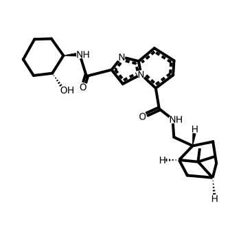 CC1(C)[C@H]2CC[C@@H](CNC(=O)c3cccc4nc(C(=O)N[C@@H]5CCCC[C@H]5O)cn34)[C@@H]1C2